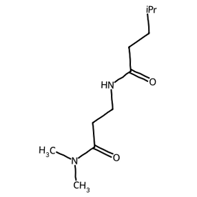 CC(C)CCC(=O)NCCC(=O)N(C)C